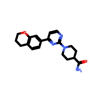 NC(=O)C1CCN(c2nccc(-c3ccc4c(c3)OCCC4)n2)CC1